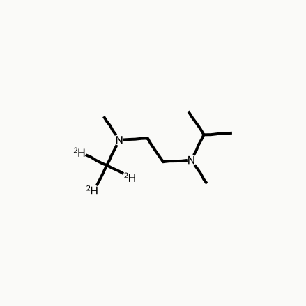 [2H]C([2H])([2H])N(C)CCN(C)C(C)C